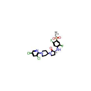 CS(=O)(=O)c1cc(F)c(N[C@H]2CCN(C3CCN(c4ncc(Cl)cc4Cl)CC3)C2=O)cc1F